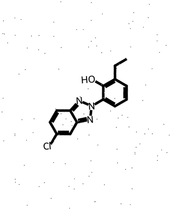 CCc1cccc(-n2nc3ccc(Cl)cc3n2)c1O